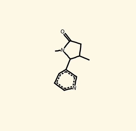 CC1CC(=O)N(C)C1c1cccnc1